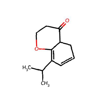 CC(C)C1=C2OCCC(=O)C2CC=C1